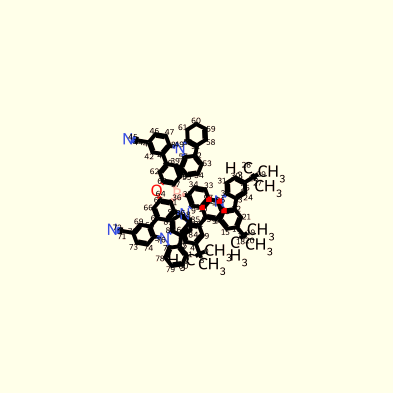 CC(C)(C)c1ccc(N2c3cc(-n4c5ccc(C(C)(C)C)cc5c5cc(C(C)(C)C)ccc54)ccc3B3c4c#cc(-c5cc(C#N)ccc5-n5c6c(c7ccccc75)C=CCC6)cc4Oc4cc(-c5cc(C#N)ccc5-n5c6ccccc6c6ccccc65)cc2c43)c(-c2ccccc2)c1